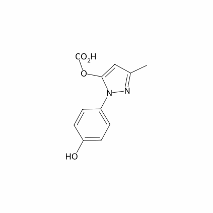 Cc1cc(OC(=O)O)n(-c2ccc(O)cc2)n1